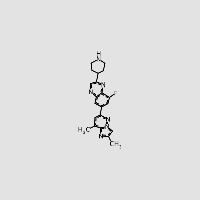 Cc1cn2nc(-c3cc(F)c4nc(C5CCNCC5)cnc4c3)cc(C)c2n1